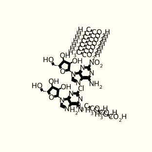 CC(=O)O.CC(=O)O.CC(=O)O.CC(=O)O.CC(=O)O.CC(=O)O.CC(=O)O.CC(=O)O.CC(=O)O.CC(=O)O.Nc1nc(Cl)nc2c1ncn2[C@@H]1O[C@H](CO)[C@@H](O)[C@H]1O.Nc1nc([N+](=O)[O-])nc2c1ncn2[C@@H]1O[C@H](CO)[C@@H](O)[C@H]1O